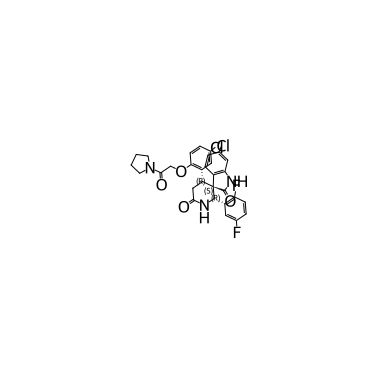 O=C1C[C@H](c2cc(Cl)ccc2OCC(=O)N2CCCC2)[C@@]2(C(=O)Nc3cc(Cl)ccc32)[C@H](c2cc(F)ccc2F)N1